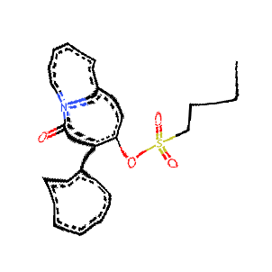 CCCCS(=O)(=O)Oc1cc2ccccn2c(=O)c1-c1ccccc1